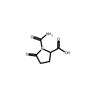 NC(=O)N1C(=O)CCC1C(=O)O